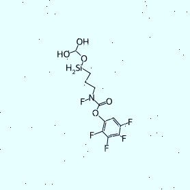 O=C(Oc1cc(F)c(F)c(F)c1F)N(F)CCC[SiH2]OC(O)O